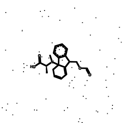 C[C@@H](C(=O)O)N(C)C12CC=CC=C1C(COC=O)c1ccccc12